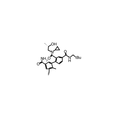 Cc1c(F)cc(C(N)=O)cc1-c1ccc(C(=O)NCC(C)(C)C)cc1C(=O)N(C[C@H](C)O)C1CC1